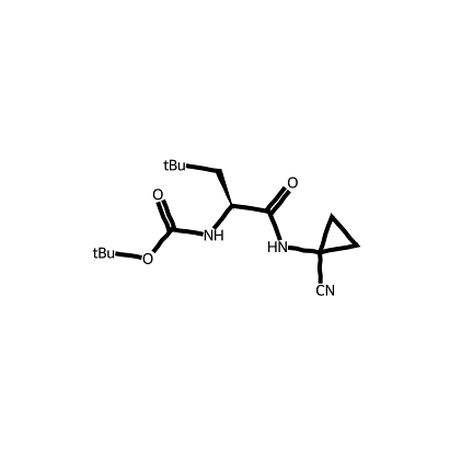 CC(C)(C)C[C@H](NC(=O)OC(C)(C)C)C(=O)NC1(C#N)CC1